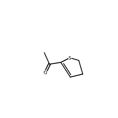 CC(=O)C1=CCCS1